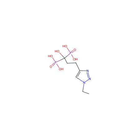 CCn1cc(CCC(O)(P(=O)(O)O)P(=O)(O)O)nn1